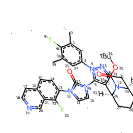 Cc1cc(-n2nc3c(c2-n2ccn(-c4ccc5ccncc5c4F)c2=O)[C@@H]2CCC[C@H](C3)N2C(=O)OC(C)(C)C)cc(C)c1F